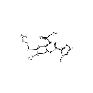 COCCCc1cc2c(C(=O)OC)cc(-c3cncn3C)cc2cc1C(F)(F)F